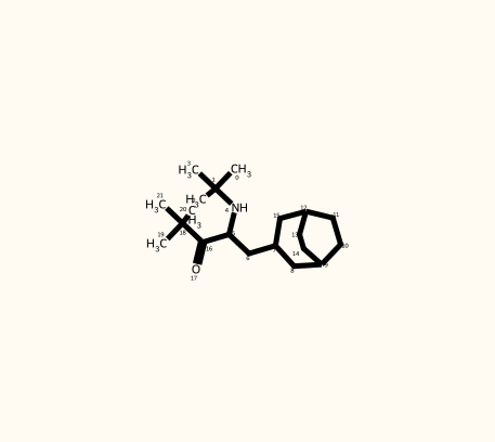 CC(C)(C)NC(CC1CC2CCC(CC2)C1)C(=O)C(C)(C)C